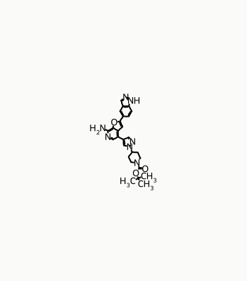 CC(C)(C)OC(=O)N1CCC(n2cc(-c3cnc(N)c4oc(-c5ccc6[nH]ncc6c5)cc34)cn2)CC1